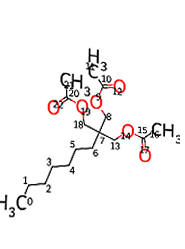 CCCCCCCC(COC(C)=O)(COC(C)=O)COC(C)=O